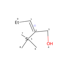 CC/C=C(/CO)[Si](C)(C)C